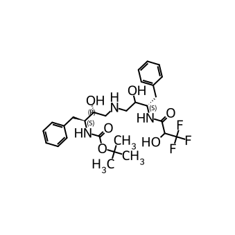 CC(C)(C)OC(=O)N[C@@H](Cc1ccccc1)[C@H](O)CNCC(O)[C@H](Cc1ccccc1)NC(=O)C(O)C(F)(F)F